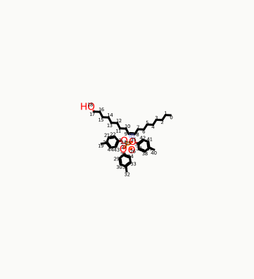 CCCCCCCC/C=C\CCCCCCCCO.Cc1ccc(OP(=O)(Oc2ccc(C)cc2)Oc2ccc(C)cc2)cc1